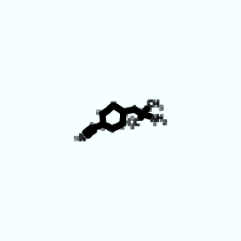 CC(C)(N)CC1CCC(C#N)CC1